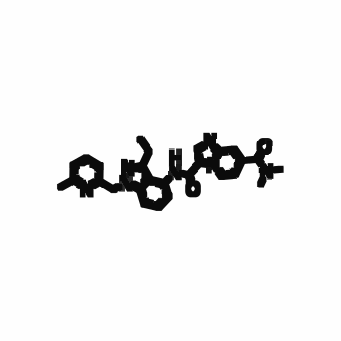 CCc1nn(Cc2cccc(C)n2)c2cccc(NC(=O)c3cnc4cc(C(=O)N(C)C)ccn34)c12